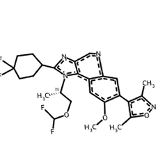 COc1cc2c(cc1-c1c(C)noc1C)ncc1nc(C3CCC(F)(F)CC3)n([C@@H](C)COC(F)F)c12